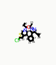 C=CC(=O)N1Cc2sc(Cl)cc2[C@H](c2ccccc2-c2cn(CC)nc2C2CC2)C1